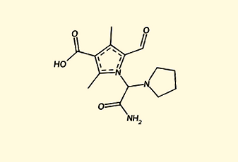 Cc1c(C(=O)O)c(C)n(C(C(N)=O)N2CCCC2)c1C=O